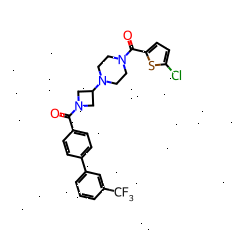 O=C(c1ccc(-c2cccc(C(F)(F)F)c2)cc1)N1CC(N2CCN(C(=O)c3ccc(Cl)s3)CC2)C1